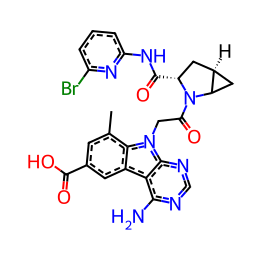 Cc1cc(C(=O)O)cc2c3c(N)ncnc3n(CC(=O)N3C4C[C@@H]4C[C@H]3C(=O)Nc3cccc(Br)n3)c12